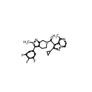 Cc1nccn2nc(C3CC3)c(C(=O)N3CCc4c(nn(C)c4-c4cc(F)c(F)c(F)c4)C3)c12